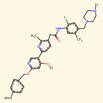 CCOc1cc(OCc2ccc(OC)cc2)ncc1-c1ccc(CC(=O)Nc2cc(C(F)(F)F)c(CN3CCN(CC)CC3)cc2F)c(C)n1